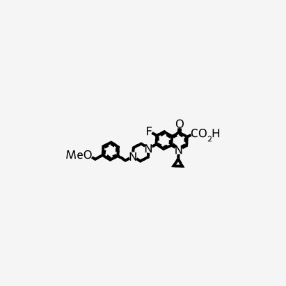 COCc1cccc(CN2CCN(c3cc4c(cc3F)c(=O)c(C(=O)O)cn4C3CC3)CC2)c1